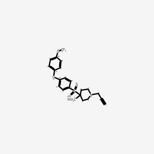 C#CCN1CCC(C(=O)OCC)(S(=O)(=O)c2ccc(Oc3ccc(OC(F)(F)F)cc3)cc2)CC1